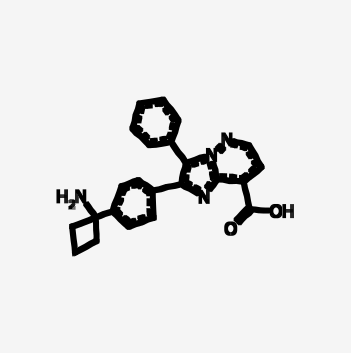 NC1(c2ccc(-c3nc4c(C(=O)O)ccnn4c3-c3ccccc3)cc2)CCC1